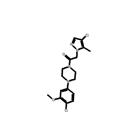 COc1cc(N2CCN(C(=O)Cn3ncc(Cl)c3C)CC2)ccc1Cl